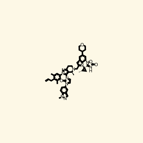 C=CCc1c(C)cc(-n2nc3c(c2-n2ccn(-c4ccc5c(cnn5C)c4)c2=O)[C@H](C)N(Cc2cc4cc(C5CCOCC5)ccc4n2[C@@]2(c4noc(=O)[nH]4)C[C@@H]2C)CC3)cc1C